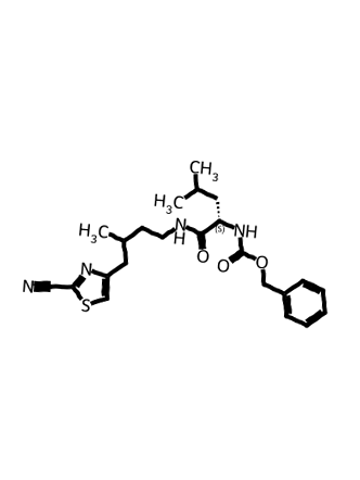 CC(C)C[C@H](NC(=O)OCc1ccccc1)C(=O)NCCC(C)Cc1csc(C#N)n1